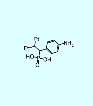 CCC(CC)C(c1ccc(N)cc1)P(=O)(O)O